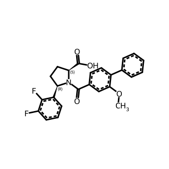 COc1cc(C(=O)N2[C@@H](c3cccc(F)c3F)CC[C@H]2C(=O)O)ccc1-c1ccccc1